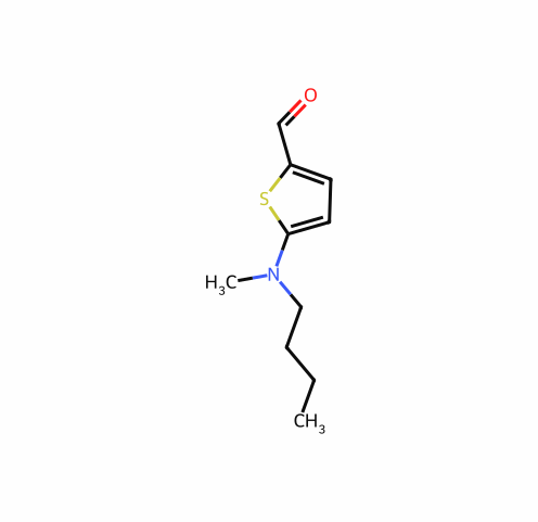 CCCCN(C)c1ccc(C=O)s1